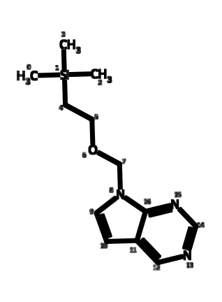 C[Si](C)(C)CCOCn1ccc2cncnc21